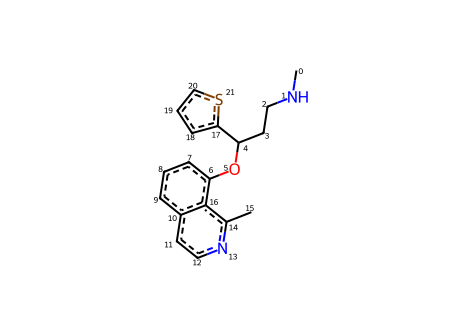 CNCCC(Oc1cccc2ccnc(C)c12)c1cccs1